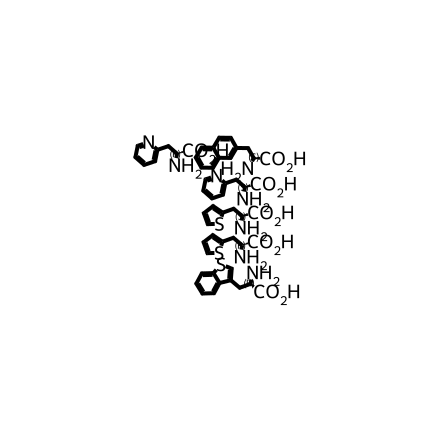 N[C@@H](Cc1ccc2ccccc2c1)C(=O)O.N[C@@H](Cc1ccccn1)C(=O)O.N[C@@H](Cc1cccs1)C(=O)O.N[C@H](Cc1ccccn1)C(=O)O.N[C@H](Cc1cccs1)C(=O)O.N[C@H](Cc1csc2ccccc12)C(=O)O